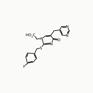 O=C(O)Cn1cc(Cc2cncnc2)c(=O)nc1SCc1ccc(F)cc1